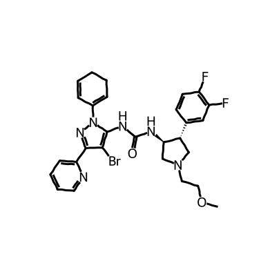 COCCN1C[C@@H](NC(=O)Nc2c(Br)c(-c3ccccn3)nn2C2=CCCC=C2)[C@H](c2ccc(F)c(F)c2)C1